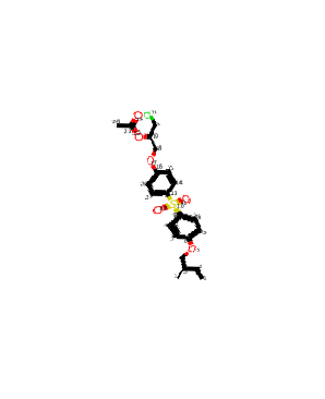 CC[C@@H](C)COc1ccc(S(=O)(=O)c2ccc(OC[C@H](CCl)OC(C)=O)cc2)cc1